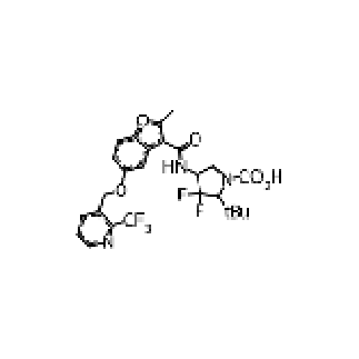 Cc1oc2ccc(OCc3cccnc3C(F)(F)F)cc2c1C(=O)NC1CN(C(=O)O)C(C(C)(C)C)C1(F)F